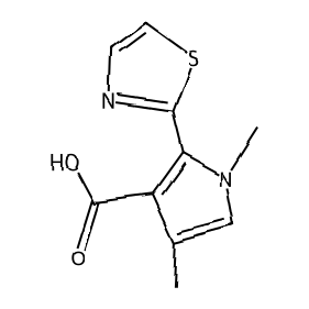 Cc1cn(C)c(-c2nccs2)c1C(=O)O